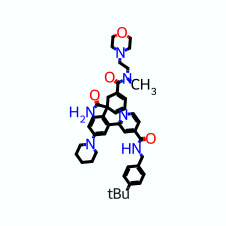 CN(CCN1CCOCC1)C(=O)C1=CC=CC(C(N)=O)(c2ccc(N3CCCCC3)cc2-c2cc(C(=O)NCc3ccc(C(C)(C)C)cc3)ccn2)C1